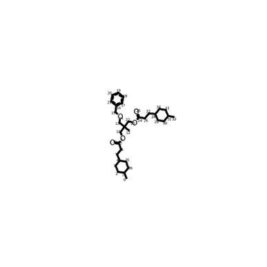 CC1CCC(CCC(=O)OCC(C)(COCc2ccccc2)COC(=O)CCC2CCC(C)CC2)CC1